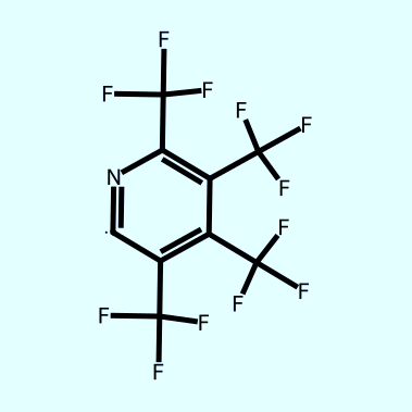 FC(F)(F)c1[c]nc(C(F)(F)F)c(C(F)(F)F)c1C(F)(F)F